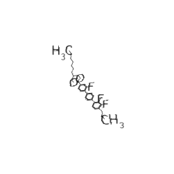 CCCCCCCC1COC(c2ccc(-c3ccc(-c4ccc(CCC)c(F)c4F)cc3)c(F)c2)OC1